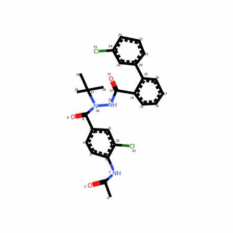 CC(=O)Nc1ccc(C(=O)N(NC(=O)c2ccccc2-c2cccc(Cl)c2)C(C)(C)C)cc1Cl